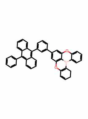 C1=CC2=C(CC1)B1c3ccccc3Oc3cc(-c4cccc(-c5c6ccccc6c(-c6ccccc6)c6ccccc56)c4)cc(c31)O2